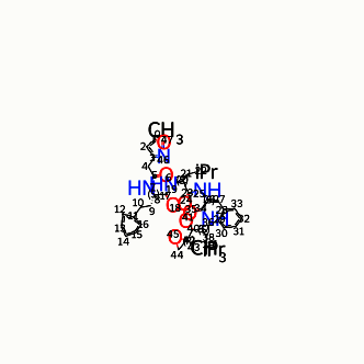 Cc1cc(CC(=O)N[C@@H](CCc2ccccc2)C(=O)N[C@@H](CC(C)C)C(=O)N[C@@H](Cc2ccccc2)C(=O)N[C@@H](CC(C)C)C(=O)[C@@]2(C)CO2)no1